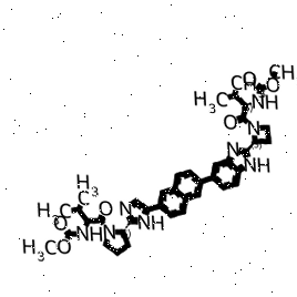 COC(=O)NC(C(=O)N1CCC[C@H]1c1ncc(-c2ccc3cc(-c4ccc5[nH]c([C@@H]6CCN6C(=O)[C@@H](NC(=O)OC)C(C)C)nc5c4)ccc3c2)[nH]1)C(C)C